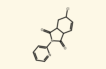 O=C1C2C=CC(Cl)CC2C(=O)N1c1ccccn1